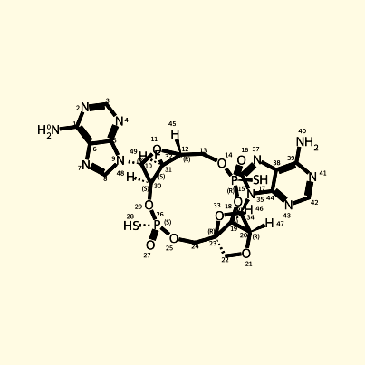 Nc1ncnc2c1ncn2[C@@H]1O[C@@H]2CO[P@@](=O)(S)O[C@H]3[C@H]4OC[C@]3(CO[P@](=O)(S)O[C@@H]1[C@H]2F)O[C@H]4n1cnc2c(N)ncnc21